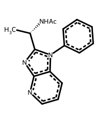 CC(=O)N[C@@H](C)c1nc2ncccc2n1-c1ccccc1